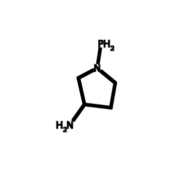 NC1CCN(P)C1